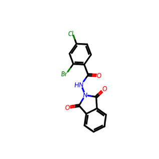 O=C(NN1C(=O)c2ccccc2C1=O)c1ccc(Cl)cc1Br